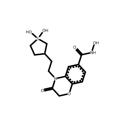 O=C(NO)c1ccc2c(c1)N(CCC1CCS(O)(O)C1)C(=O)CO2